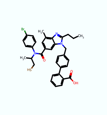 CCCc1nc2c(C)cc(C(=O)N(c3ccc(Br)cc3)C(C)CS)cc2n1Cc1ccc(-c2ccccc2C(=O)O)cc1